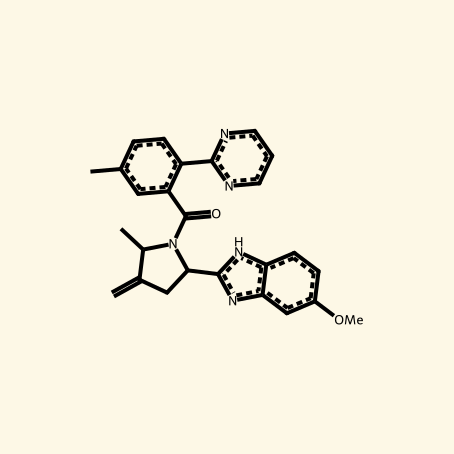 C=C1CC(c2nc3cc(OC)ccc3[nH]2)N(C(=O)c2cc(C)ccc2-c2ncccn2)C1C